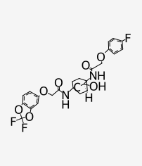 O=C(COc1ccc2c(c1)OC(F)(F)O2)NC12CCC(NC(=O)COc3ccc(F)cc3)(CC1)[C@@H](O)C2